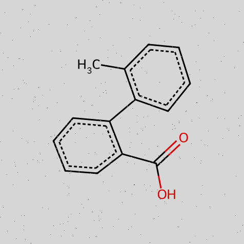 Cc1ccccc1-c1ccccc1C(=O)O